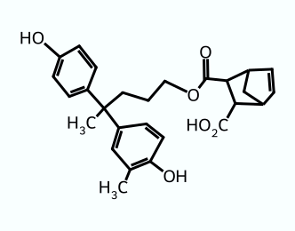 Cc1cc(C(C)(CCCOC(=O)C2C3C=CC(C3)C2C(=O)O)c2ccc(O)cc2)ccc1O